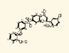 [CH2]CC(C[C@](O)(c1cccc(Cl)c1)C(C)(C)C)c1ccc(S(=O)(=O)c2cccc(Oc3ncccc3C=O)c2)cc1